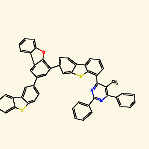 Cc1c(-c2ccccc2)nc(-c2ccccc2)nc1-c1cccc2c1sc1cc(-c3cc(-c4ccc5sc6ccccc6c5c4)cc4c3oc3ccccc34)ccc12